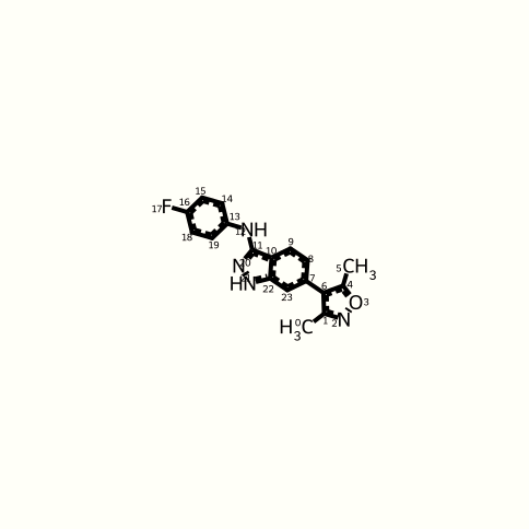 Cc1noc(C)c1-c1ccc2c(Nc3ccc(F)cc3)n[nH]c2c1